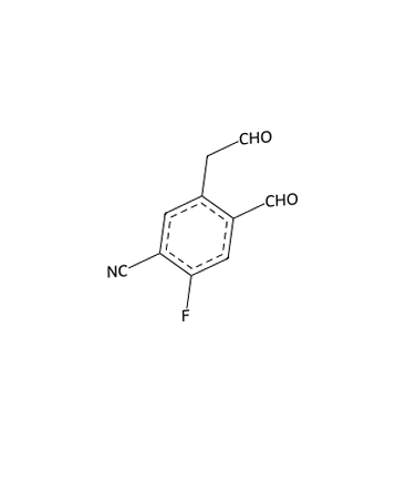 N#Cc1cc(CC=O)c(C=O)cc1F